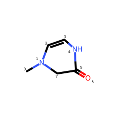 CN1C=CNC(=O)C1